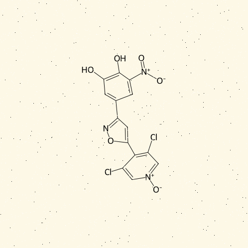 O=[N+]([O-])c1cc(-c2cc(-c3c(Cl)c[n+]([O-])cc3Cl)on2)cc(O)c1O